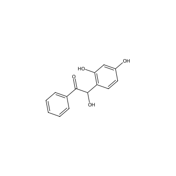 O=C(c1ccccc1)C(O)c1ccc(O)cc1O